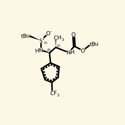 C[C@H](NC(=O)OC(C)(C)C)[C@H](N[S@+]([O-])C(C)(C)C)c1ccc(C(F)(F)F)cc1